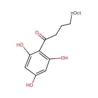 CCCCCCCCCCCC(=O)c1c(O)cc(O)cc1O